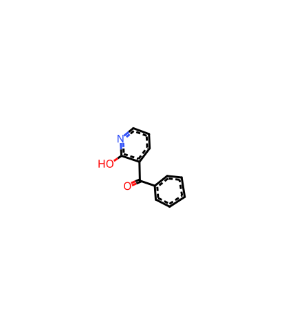 O=C(c1ccccc1)c1cccnc1O